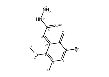 C=c1c(Br)cc(C)c(OC)/c1=C/C(=O)NN